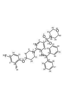 O=S(=O)(c1cnc(N2CCC(Oc3ccc(F)cc3F)CC2)c(N=C(c2ccccc2)c2ccccc2)c1)N1CCOCC1